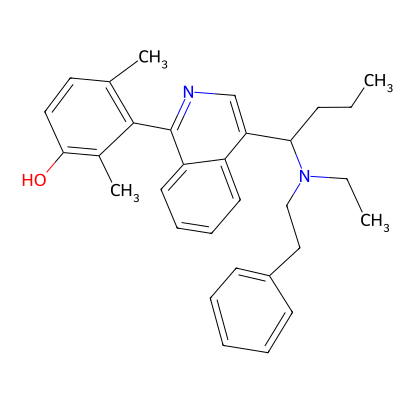 CCCC(c1cnc(-c2c(C)ccc(O)c2C)c2ccccc12)N(CC)CCc1ccccc1